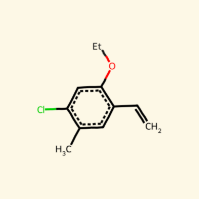 C=Cc1cc(C)c(Cl)cc1OCC